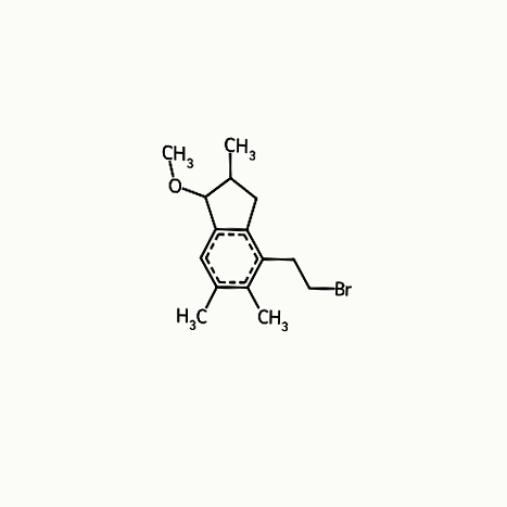 COC1c2cc(C)c(C)c(CCBr)c2CC1C